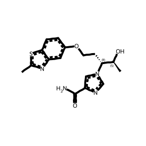 Cc1nc2cc(OCC[C@H]([C@H](C)O)n3cnc(C(N)=O)c3)ccc2s1